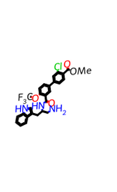 COC(=O)c1ccc(-c2ccc(OC(F)(F)F)c(C(=O)NC(CN)Cc3c[nH]c4ccccc34)c2)cc1Cl